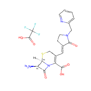 N[C@@H]1C(=O)N2C(C(=O)O)=C(C=C3CCN(Cc4ccccn4)C3=O)CS[C@H]12.O=C(O)C(F)(F)F